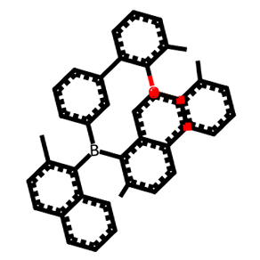 Cc1ccccc1Oc1c(C)cccc1-c1cccc(B(c2c(C)ccc3ccccc23)c2c(C)ccc3ccccc23)c1